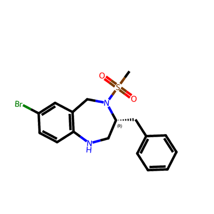 CS(=O)(=O)N1Cc2cc(Br)ccc2NC[C@H]1Cc1ccccc1